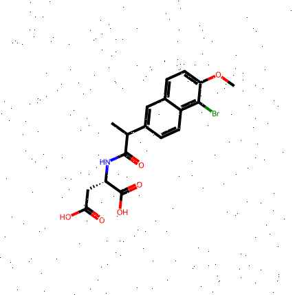 COc1ccc2cc(C(C)C(=O)N[C@@H](CC(=O)O)C(=O)O)ccc2c1Br